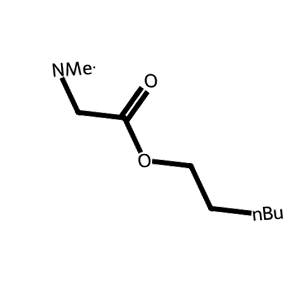 CCCCCCOC(=O)C[N]C